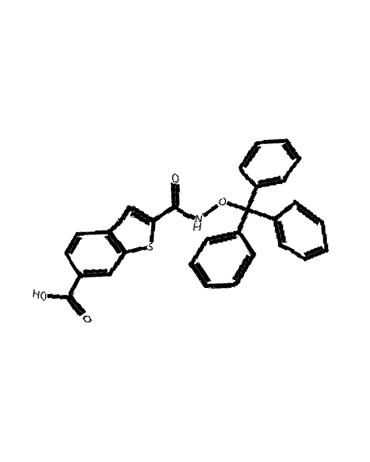 O=C(O)c1ccc2cc(C(=O)NOC(c3ccccc3)(c3ccccc3)c3ccccc3)sc2c1